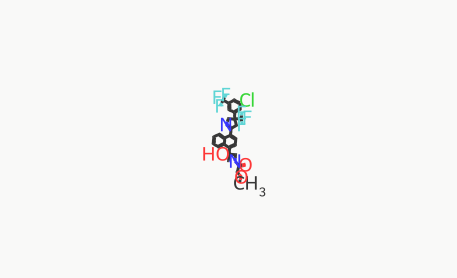 COCC(=O)N1CC(O)(c2ccc(C3=NCC(c4cc(Cl)cc(C(F)(F)F)c4)(C(F)(F)F)C3)c3ccccc23)C1